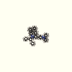 c1ccc(-c2cc(-c3ccccc3)cc(N(c3ccc(-c4ccc(-n5c6ccccc6c6ccccc65)cc4)cc3)c3cccc(C4(c5ccccc5)c5ccccc5-c5ccccc54)c3)c2)cc1